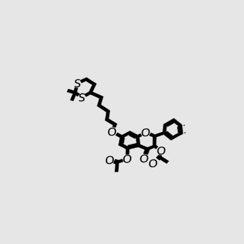 CC(=O)Oc1cc(OCCCCCC2CCSC(C)(C)S2)cc2c1C(=O)C(OC(C)=O)C(c1c[c][c]cc1)O2